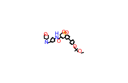 CCOCC(C)(C)COc1ccc(-c2ccc3c(c2)C=C(C(=O)Nc2ccc(CN(C)C4CCOCC4)cc2)CCS3(=O)=O)cc1